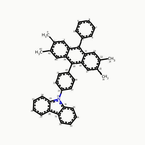 Cc1cc2c(-c3ccccc3)c3cc(C)c(C)cc3c(-c3ccc(-n4c5ccccc5c5ccccc54)cc3)c2cc1C